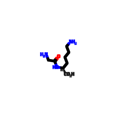 NCCCC[C@@H](NC(=O)CN)C(=O)O